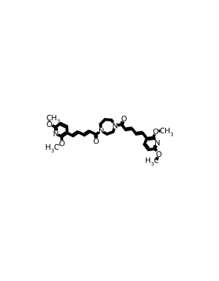 COc1ccc(/C=C/C=C/C(=O)N2CCCN(C(=O)/C=C/C=C/c3ccc(OC)nc3OC)CC2)c(OC)n1